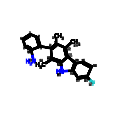 Cc1c(-c2ccccc2N)c(C)c2[nH]c3cc(F)ccc3c2c1C